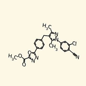 COC(=O)c1nnc(-c2ccc(Cc3c(C)nn(-c4ccc(C#N)c(Cl)c4)c3C)cc2)o1